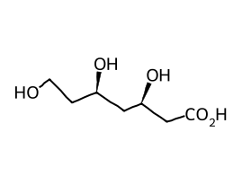 O=C(O)C[C@H](O)C[C@H](O)CCO